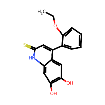 CCOc1ccccc1-c1cc(=S)[nH]c2cc(O)c(O)cc12